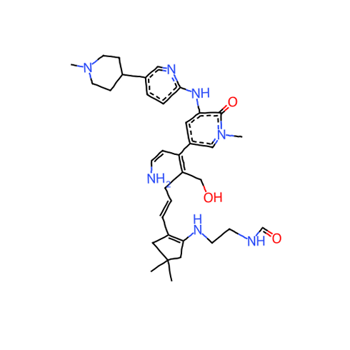 CN1CCC(c2ccc(Nc3cc(C(/C=C\N)=C(\CO)C/C=C/C4=C(NCCNC=O)CC(C)(C)C4)cn(C)c3=O)nc2)CC1